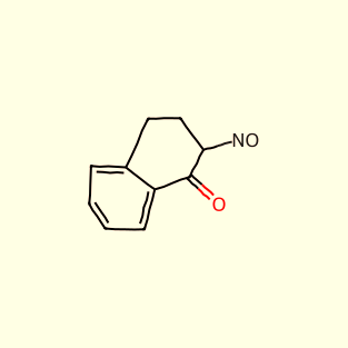 O=NC1CCc2ccccc2C1=O